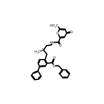 C[C@@H](CCNC(=O)c1cc(=O)cc(C(=O)O)o1)Cc1ccc(-c2ccccc2)cc1C(=O)OCc1ccccc1